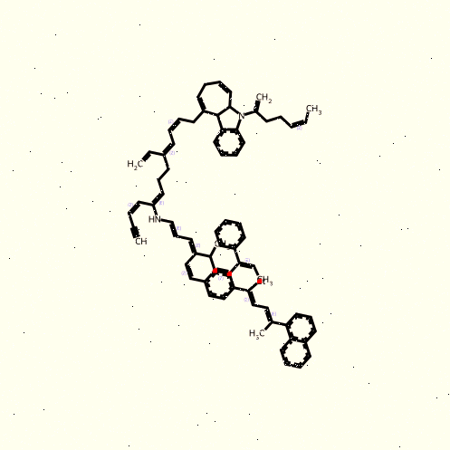 C#C/C=C\C(=C/CC/C(C=C)=C/C=C\CC1=CCC=CC2C1c1ccccc1N2C(=C)CC/C=C\C)N/C=C/C=C(\C=C/c1ccc(/C(=C/C=C(\C)c2cccc3ccccc23)CC)cc1)C(C)/C=C\C(=C/C)c1ccccc1